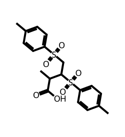 Cc1ccc(S(=O)(=O)CC(C(C)C(=O)O)S(=O)(=O)c2ccc(C)cc2)cc1